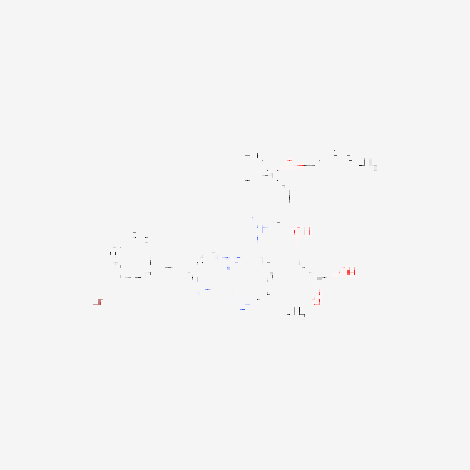 C=CCOC1(C)CCN(c2c(C(O)C(=O)O)c(C)nc3nc(-c4cccc(Br)c4)cn23)CC1